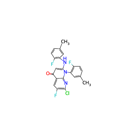 Cc1ccc(F)c(Nc2cc(=O)c3cc(F)c(Cl)nc3n2-c2cc(C)ccc2F)c1